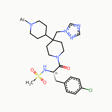 CC(=O)N1CCC(C2(Cn3cncn3)CCN(C(=O)[C@H](Cc3ccc(Cl)cc3)NS(C)(=O)=O)CC2)CC1